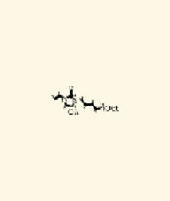 C=CN1CC[N+](CCCCCCCCCCCC)=C1C.[Cl-]